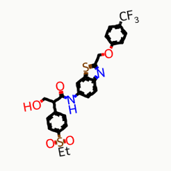 CCS(=O)(=O)c1ccc(C(CO)C(=O)Nc2ccc3nc(COc4ccc(C(F)(F)F)cc4)sc3c2)cc1